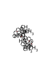 COc1ccccc1C(O)(c1ccccc1OC)[C@H](NC(=O)CC(=O)N[C@H](c1cccc2ccccc12)C(O)(c1ccccc1OC)c1ccccc1OC)c1cccc2ccccc12